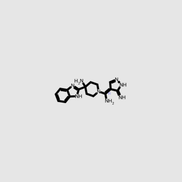 N=C1NN=C/C1=C(/N)N1CCC(N)(c2nc3ccccc3[nH]2)CC1